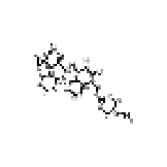 CN1CCN(CCn2c(=O)[nH]/c(=N/C(CC3CCCCC3)C(=O)NC3(C#N)CC3)c3ccccc32)CC1